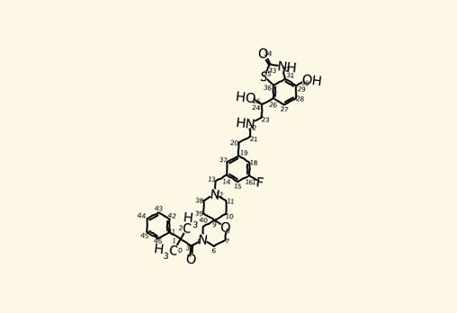 CC(C)(C(=O)N1CCOC2(CCN(Cc3cc(F)cc(CCNCC(O)c4ccc(O)c5[nH]c(=O)sc45)c3)CC2)C1)c1ccccc1